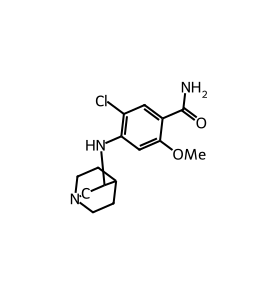 COc1cc(NC2CN3CCC2CC3)c(Cl)cc1C(N)=O